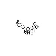 CC(C)(C)OC(=O)NCc1cc(-c2ccc(OC(F)(F)F)cc2)c2nccnc2c1O